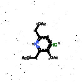 CC(=O)OCc1ccc(OC(C)=O)c(COC(C)=O)n1.Cl